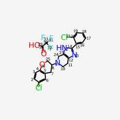 Clc1ccc2c(c1)CC(N1CCc3nc(-c4ccccc4Cl)[nH]c3C1)CO2.O=C(O)C(F)(F)F